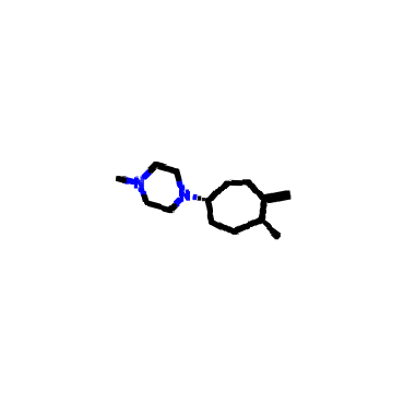 C=C1CC[C@@H](N2CCN(C)CC2)CC[C@@H]1C